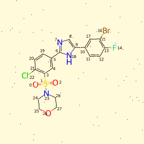 O=S(=O)(c1cc(-c2ncc(-c3ccc(F)c(Br)c3)[nH]2)ccc1Cl)N1CCOCC1